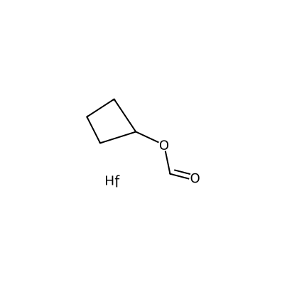 O=COC1CCC1.[Hf]